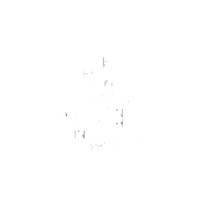 Cc1ccc(NC(=O)C2(c3ccccc3C(C)C)CNC(=O)C2)c(OC(F)F)c1